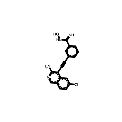 N=C(NO)c1cccc(C#Cc2c(N)ncc3ccc(Cl)cc23)c1